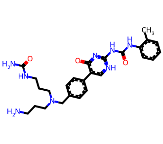 Cc1ccccc1NC(=O)Nc1nc(=O)c(-c2ccc(CN(CCCN)CCCNC(N)=O)cc2)c[nH]1